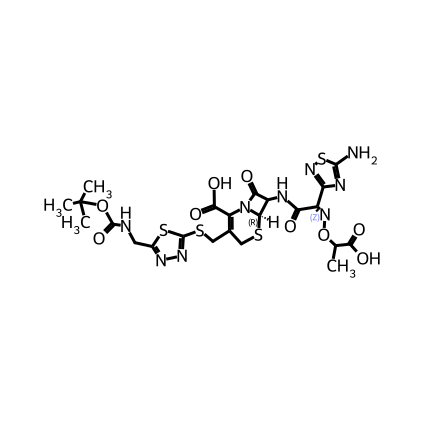 CC(O/N=C(\C(=O)NC1C(=O)N2C(C(=O)O)=C(CSc3nnc(CNC(=O)OC(C)(C)C)s3)CS[C@H]12)c1nsc(N)n1)C(=O)O